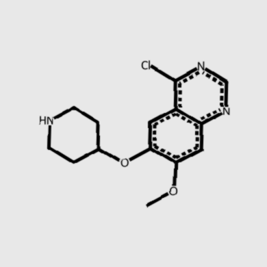 COc1cc2ncnc(Cl)c2cc1OC1CCNCC1